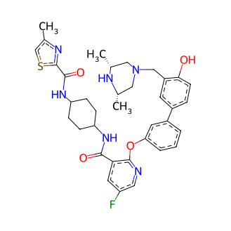 Cc1csc(C(=O)NC2CCC(NC(=O)c3cc(F)cnc3Oc3cccc(-c4ccc(O)c(CN5C[C@@H](C)N[C@@H](C)C5)c4)c3)CC2)n1